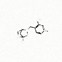 COc1cc(Br)ccc1CN1C[C@H]2C[C@@H]1CN2C